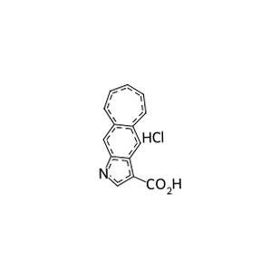 Cl.O=C(O)c1cnc2cc3cccccc3cc12